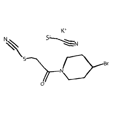 N#CSCC(=O)N1CCC(Br)CC1.N#C[S-].[K+]